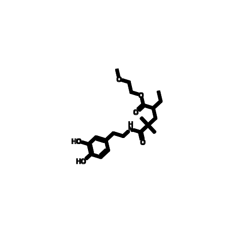 CCC(CC(C)(C)C(=O)NCCc1ccc(O)c(O)c1)C(=O)OCCOC